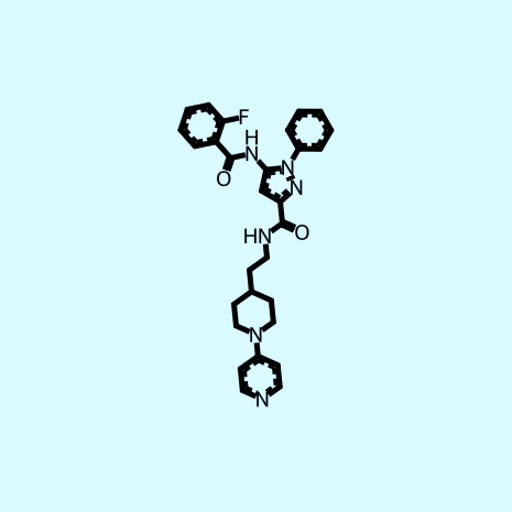 O=C(NCCC1CCN(c2ccncc2)CC1)c1cc(NC(=O)c2ccccc2F)n(-c2ccccc2)n1